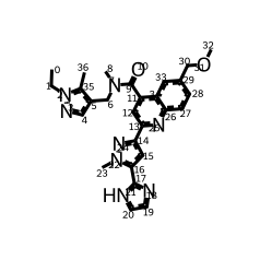 CCn1ncc(CN(C)C(=O)c2cc(-c3cc(-c4ncc[nH]4)n(C)n3)nc3ccc(COC)cc23)c1C